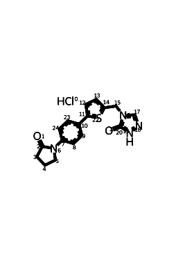 Cl.O=C1CCCN1c1ccc(-c2ccc(Cn3cn[nH]c3=O)s2)cc1